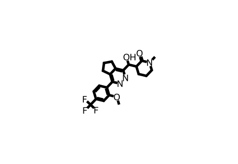 COc1cc(C(F)(F)F)ccc1-c1nnc(C(O)C2CCCN(C)C2=O)c2c1CCC2